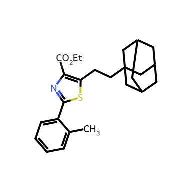 CCOC(=O)c1nc(-c2ccccc2C)sc1CCC12CC3CC(CC(C3)C1)C2